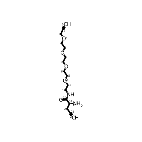 C#CCOCCOCCOCCOCCNC(=O)[C@@H](N)CC#C